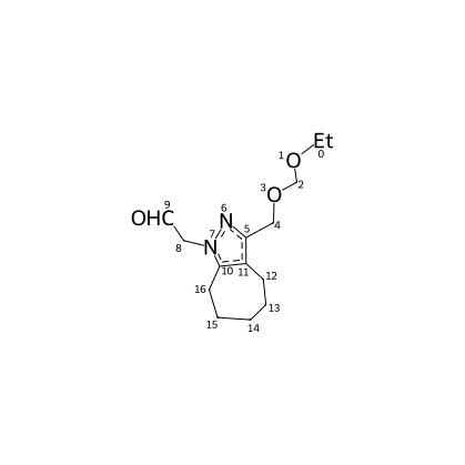 CCOCOCc1nn(CC=O)c2c1CCCCC2